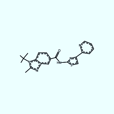 Cc1nc2cc(C(=O)Nc3nc(-c4ccccn4)cs3)ccc2n1C(C)(C)C